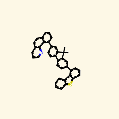 CC1(C)c2cc(-c3cccc4sc5ccccc5c34)ccc2-c2ccc(-c3cccc4ccc5cccnc5c34)cc21